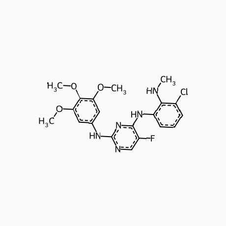 CNc1c(Cl)cccc1Nc1nc(Nc2cc(OC)c(OC)c(OC)c2)ncc1F